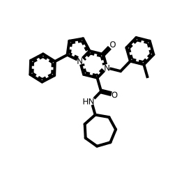 Cc1ccccc1Cn1c(C(=O)NC2CCCCCC2)cn2c(-c3ccccc3)ccc2c1=O